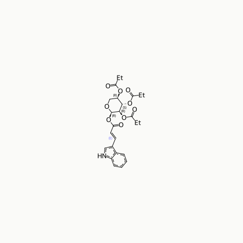 CCC(=O)O[C@@H]1[C@@H](OC(=O)CC)[C@@H](OC(=O)/C=C/c2c[nH]c3ccccc23)OC[C@H]1OC(=O)CC